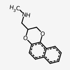 CNCC1COc2c(ccc3ccccc23)O1